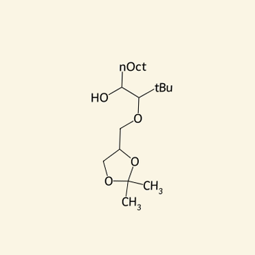 CCCCCCCCC(O)C(OCC1COC(C)(C)O1)C(C)(C)C